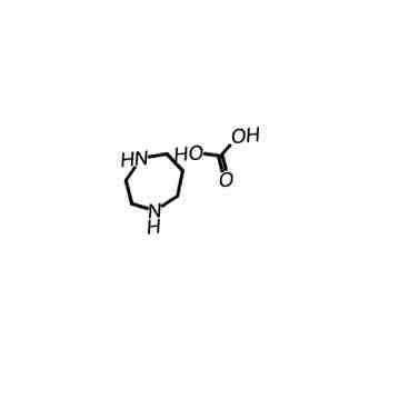 C1CNCCNC1.O=C(O)O